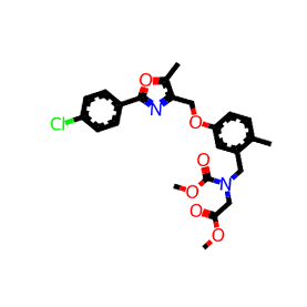 COC(=O)CN(Cc1cc(OCc2nc(-c3ccc(Cl)cc3)oc2C)ccc1C)C(=O)OC